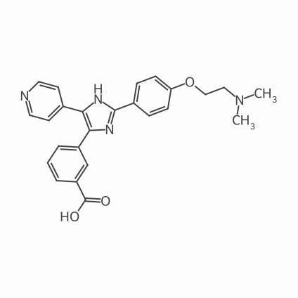 CN(C)CCOc1ccc(-c2nc(-c3cccc(C(=O)O)c3)c(-c3ccncc3)[nH]2)cc1